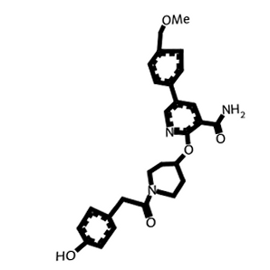 COCc1ccc(-c2cnc(OC3CCN(C(=O)Cc4ccc(O)cc4)CC3)c(C(N)=O)c2)cc1